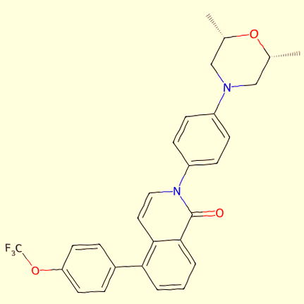 C[C@@H]1CN(c2ccc(-n3ccc4c(-c5ccc(OC(F)(F)F)cc5)cccc4c3=O)cc2)C[C@H](C)O1